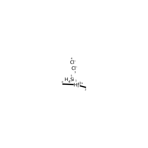 [CH3][Hf+2][CH3].[Cl-].[Cl-].[SiH4]